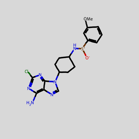 COc1cccc([S+]([O-])NC2CCC(n3cnc4c(N)nc(Cl)nc43)CC2)c1